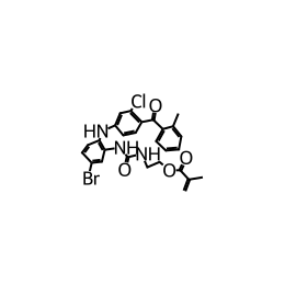 C=C(C)C(=O)OCCNC(=O)Nc1cc(Br)ccc1Nc1ccc(C(=O)c2ccccc2C)c(Cl)c1